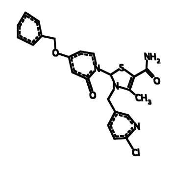 CC1=C(C(N)=O)SC(n2ccc(OCc3ccccc3)cc2=O)N1Cc1ccc(Cl)nc1